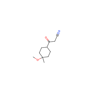 COC1(C)CCC(C(=O)CC#N)CC1